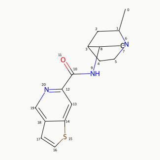 CC1CC2CCN1CC2NC(=O)c1cc2sccc2cn1